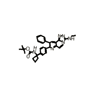 CCNc1nnc2c3cc(-c4ccccc4)c(-c4ccc(C5(NC(=O)OC(C)(C)C)CCC5)cc4)nc3ccn12